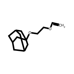 C=COCCOC12CC3CC(CC(C3)C1)C2